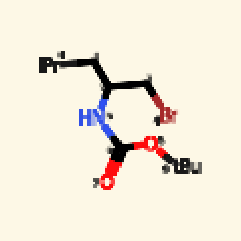 CC(C)CC(CBr)NC(=O)OC(C)(C)C